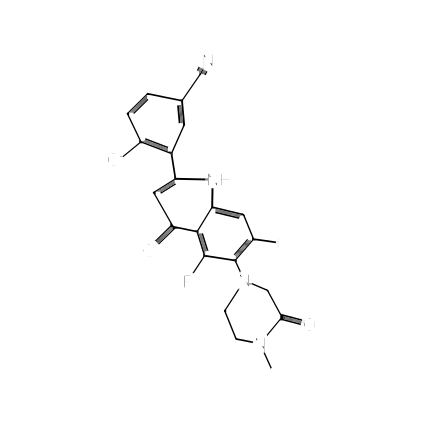 CN1CCN(c2c(F)cc3[nH]c(-c4cc(C#N)ccc4Cl)cc(=O)c3c2F)CC1=O